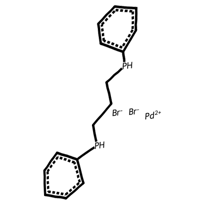 [Br-].[Br-].[Pd+2].c1ccc(PCCCPc2ccccc2)cc1